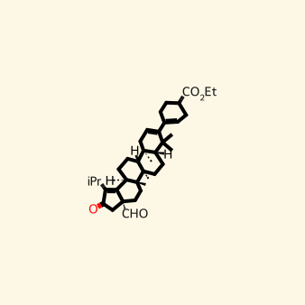 CCOC(=O)C1CC=C(C2=CC[C@]3(C)[C@H]4CC[C@@H]5C6=C(C(C)C)C(=O)C[C@]6(C=O)CC[C@@]5(C)[C@]4(C)CC[C@H]3C2(C)C)CC1